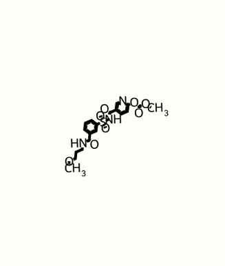 COCCCNC(=O)c1cccc(S(=O)(=O)NC(=O)c2ccc(OC(=O)OC)nc2)c1